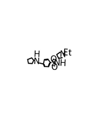 CCN1CC[C@@H](NS(=O)(=O)c2ccc(CNC3CCCC3)cc2)C1